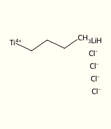 CCC[CH2][Ti+4].[Cl-].[Cl-].[Cl-].[Cl-].[LiH]